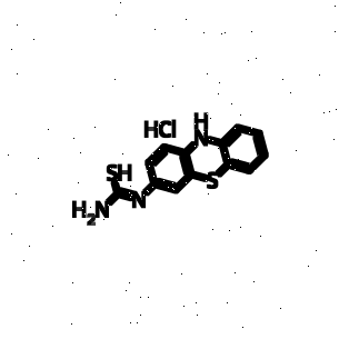 Cl.NC(S)=Nc1ccc2c(c1)Sc1ccccc1N2